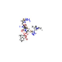 CCCC(OC(=O)C1=C(CSc2nnnn2CCN(C)C)CS[C@@H]2[C@H](NC(=O)Cc3csc(N)n3)C(=O)N12)OC(=O)C1CCCCC1